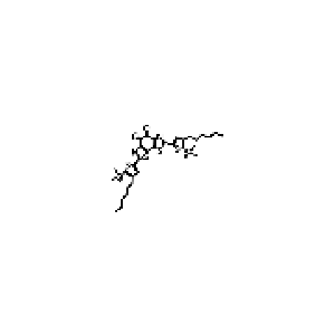 CCCCCCc1cc(-c2nc3c(s2)-c2sc(-c4cc(CCCCCC)c([Si](C)(C)C)s4)nc2C(=O)C3=O)sc1[Si](C)(C)C